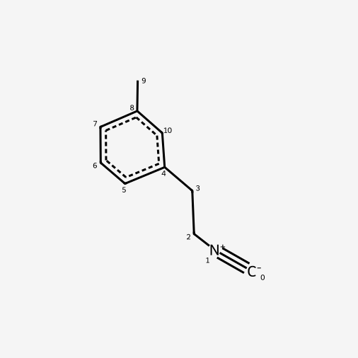 [C-]#[N+]CCc1cccc(C)c1